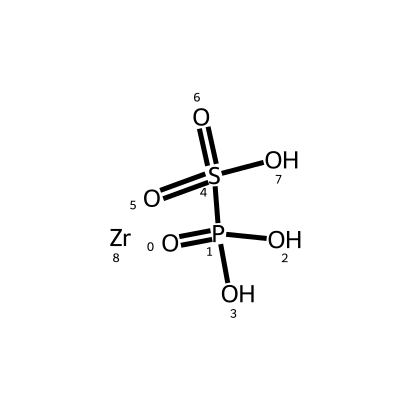 O=P(O)(O)S(=O)(=O)O.[Zr]